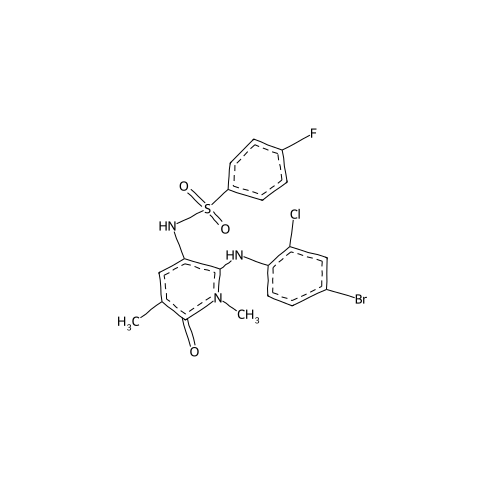 Cc1cc(NS(=O)(=O)c2ccc(F)cc2)c(Nc2ccc(Br)cc2Cl)n(C)c1=O